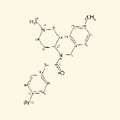 Cc1ccc(CN(C(=O)Cc2ccc(C(C)C)cc2)C2CCN(C)CC2)cc1